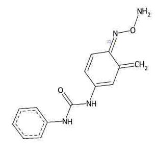 C=C1C=C(NC(=O)Nc2ccccc2)C=C/C1=N/ON